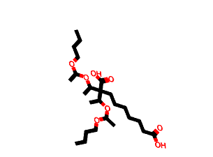 CCCCOC(C)OC(C)C(CCCCCCC(=O)O)(C(=O)O)C(C)OC(C)OCCCC